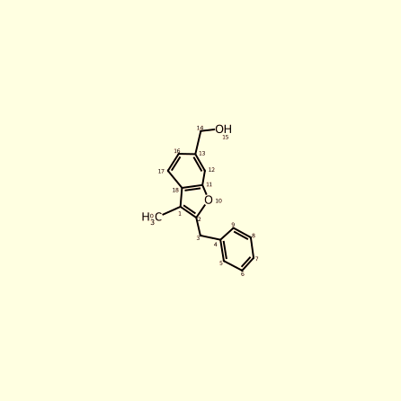 Cc1c(Cc2ccccc2)oc2cc(CO)ccc12